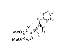 COc1ccc2c(c1OC)CCC1C2CCCN1Cc1ccccc1